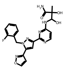 CC(O)(C(N)=O)C(O)Nc1ccnc(-c2cc(-c3ccon3)n(Cc3ccccc3F)n2)n1